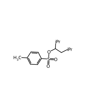 Cc1ccc(S(=O)(=O)OC(CC(C)C)C(C)C)cc1